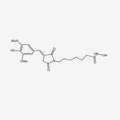 COc1cc(/C=C2\CC(=O)N(CCCCCCC(=O)NO)C2=O)cc(OC)c1O